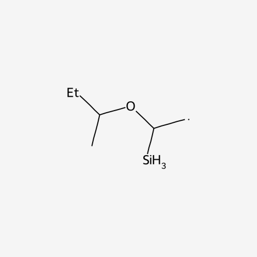 [CH2]C([SiH3])OC(C)CC